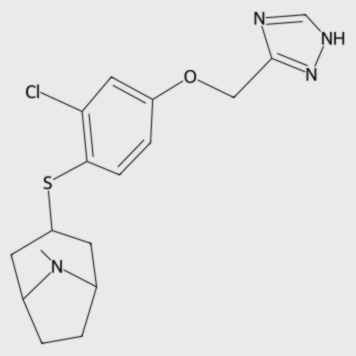 CN1C2CCC1CC(Sc1ccc(OCc3nc[nH]n3)cc1Cl)C2